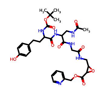 CC(=O)NCC(NC(=O)C(CCc1ccc(O)cc1)NC(=O)OC(C)(C)C)C(=O)NCC(=O)NCC1OC1C(=O)OCc1ccccn1